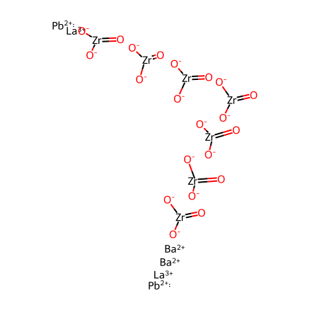 [Ba+2].[Ba+2].[La+3].[La+3].[O]=[Zr]([O-])[O-].[O]=[Zr]([O-])[O-].[O]=[Zr]([O-])[O-].[O]=[Zr]([O-])[O-].[O]=[Zr]([O-])[O-].[O]=[Zr]([O-])[O-].[O]=[Zr]([O-])[O-].[Pb+2].[Pb+2]